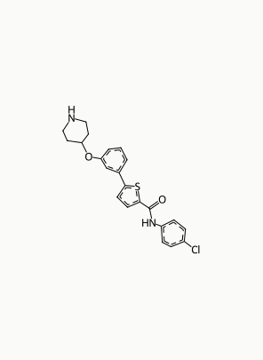 O=C(Nc1ccc(Cl)cc1)c1ccc(-c2cccc(OC3CCNCC3)c2)s1